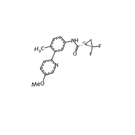 COc1ccc(-c2cc(NC(=O)[C@@H]3CC3(F)F)ccc2C)nc1